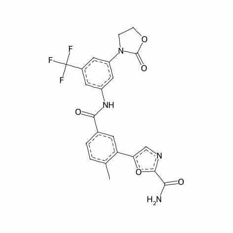 Cc1ccc(C(=O)Nc2cc(N3CCOC3=O)cc(C(F)(F)F)c2)cc1-c1cnc(C(N)=O)o1